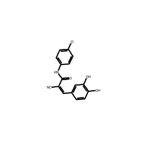 N#CC(=Cc1ccc(O)c(O)c1)C(=O)Nc1ccc(Cl)cc1